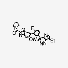 CCn1cnc2c(-c3ccc(F)c(-c4cc5oc(C(=O)N6CCCC6)nc5cc4OC)c3)cnnc21